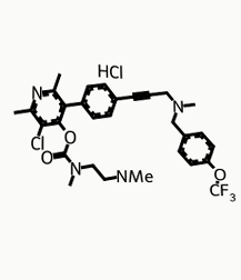 CNCCN(C)C(=O)Oc1c(Cl)c(C)nc(C)c1-c1ccc(C#CCN(C)Cc2ccc(OC(F)(F)F)cc2)cc1.Cl